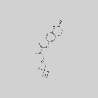 C=C(COCC(F)(F)S(=O)(=O)O)C(=O)Oc1ccc2c(c1)CCC(=O)O2